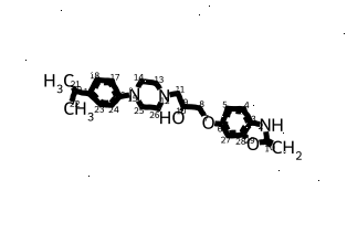 C=C1Nc2ccc(OC[C@@H](O)CN3CCN(c4ccc(C(C)C)cc4)CC3)cc2O1